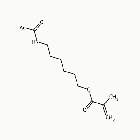 C=C(C)C(=O)OCCCCCCNC(=O)C(C)=O